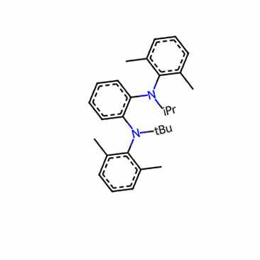 Cc1cccc(C)c1N(c1ccccc1N(c1c(C)cccc1C)C(C)(C)C)C(C)C